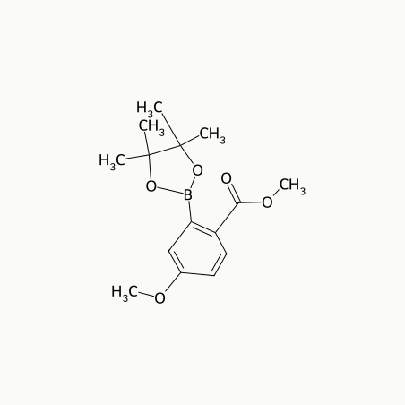 COC(=O)c1ccc(OC)cc1B1OC(C)(C)C(C)(C)O1